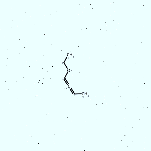 CC=C=COCC